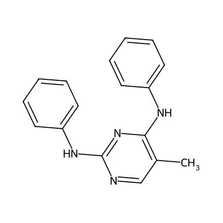 Cc1cnc(Nc2ccccc2)nc1Nc1ccccc1